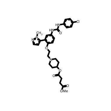 COC(=O)CCC(=O)OC1CCN(CCOc2ccc(NC(=O)Nc3ccc(Cl)cc3)cc2-c2ccnn2C)CC1